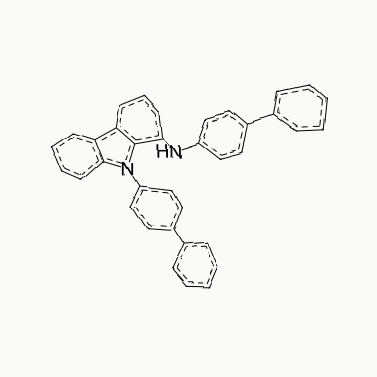 c1ccc(-c2ccc(Nc3cccc4c5ccccc5n(-c5ccc(-c6ccccc6)cc5)c34)cc2)cc1